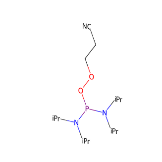 CC(C)N(C(C)C)P(OOCCC#N)N(C(C)C)C(C)C